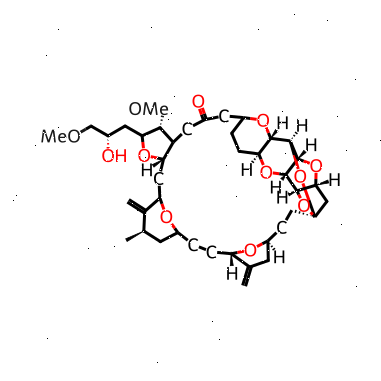 C=C1C2C[C@@H]3OC(C[C@H](O)COC)[C@H](OC)C3CC(=O)CC3CC[C@@H]4O[C@@H]5[C@H]6O[C@@H]7C[C@](CC[C@H]8CC(=C)[C@H](CCC(C[C@H]1C)O2)O8)(O[C@H]6[C@H]4O3)O[C@H]57